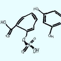 O=C(O)c1ccccc1OS(=O)(=O)O.Oc1cccc(O)c1